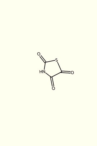 O=C1NC(=O)C(=O)S1